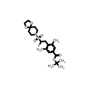 Cc1cc(C(=O)OC(C)(C)C)cc(C)c1CC(F)S(=O)(=O)N1CCC2(CC1)OCCO2